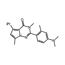 Cc1cc(N(C)C)ccc1-c1nn2c(C)cc(C(C)C)c2c(=O)n1C